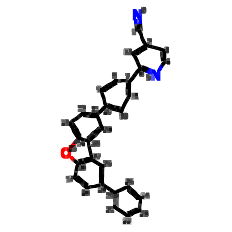 N#Cc1ccnc(-c2ccc(-c3ccc4oc5ccc(-c6ccccc6)cc5c4c3)cc2)c1